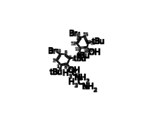 CC(C)(C)c1cc(Br)cc(C(C)(C)C)c1O.CC(C)(C)c1cc(Br)cc(C(C)(C)C)c1O.CN.CN